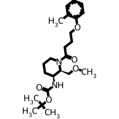 COC[C@H]1[C@@H](NC(=O)OC(C)(C)C)CCCN1C(=O)CCCOc1ccccc1C